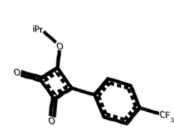 CC(C)Oc1c(-c2ccc(C(F)(F)F)cc2)c(=O)c1=O